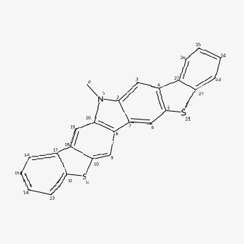 Cn1c2cc3c(cc2c2cc4sc5ccccc5c4cc21)sc1ccccc13